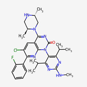 CNc1nc(C(C)C)c(-n2c(=O)nc(N3C[C@@H](C)NC[C@@H]3C)c3cc(Cl)c(-c4ccccc4F)nc32)c(C(C)C)n1